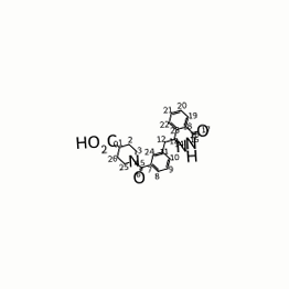 O=C(O)C1CCN(C(=O)c2cccc(Cc3n[nH]c(=O)c4ccccc34)c2)CC1